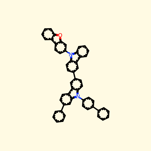 c1ccc(-c2ccc(-n3c4ccc(-c5ccc6c(c5)c5ccccc5n6-c5ccc6c(c5)oc5ccccc56)cc4c4ccc(-c5ccccc5)cc43)cc2)cc1